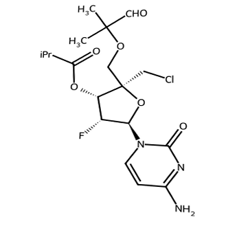 CC(C)C(=O)O[C@H]1[C@@H](F)[C@H](n2ccc(N)nc2=O)O[C@]1(CCl)COC(C)(C)C=O